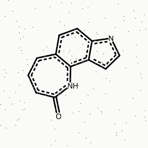 O=c1cccc2ccc3nccc3c2[nH]1